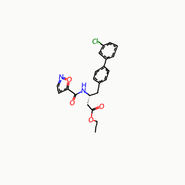 CCOC(=O)C[C@@H](Cc1ccc(-c2cccc(Cl)c2)cc1)NC(=O)c1ccno1